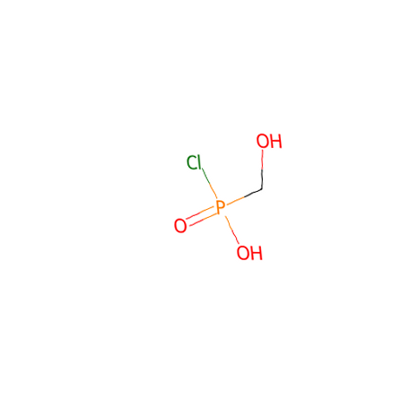 O=P(O)(Cl)CO